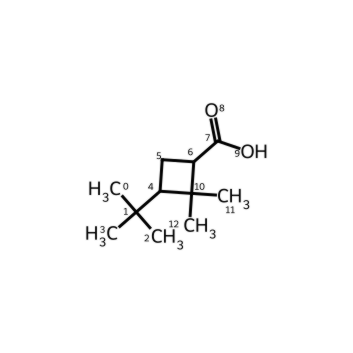 CC(C)(C)C1CC(C(=O)O)C1(C)C